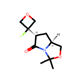 CC1(C)OC[C@@H]2C[C@@H](C3(F)COC3)C(=O)N21